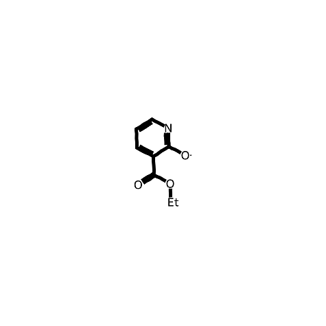 CCOC(=O)c1cccnc1[O]